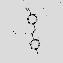 Cc1ccc(N=Nc2ccc(I)cc2)cc1